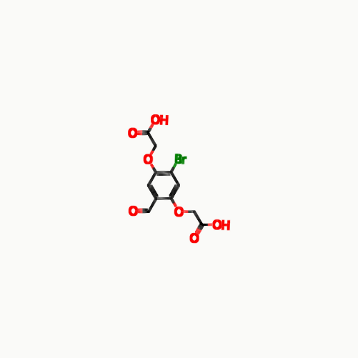 O=Cc1cc(OCC(=O)O)c(Br)cc1OCC(=O)O